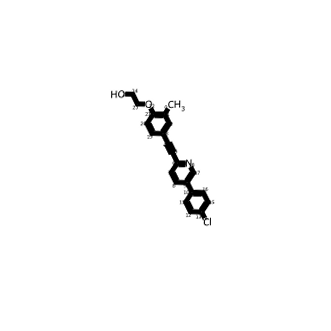 Cc1cc(C#Cc2ccc(-c3ccc(Cl)cc3)cn2)ccc1OCCO